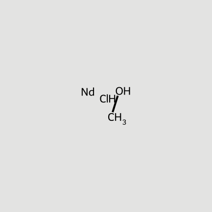 CO.Cl.[Nd]